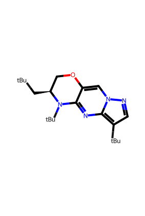 CC(C)(C)C[C@H]1COc2cn3ncc(C(C)(C)C)c3nc2N1C(C)(C)C